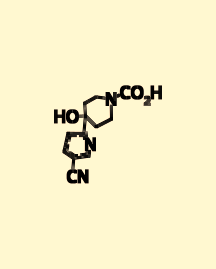 N#Cc1ccc(C2(O)CCN(C(=O)O)CC2)nc1